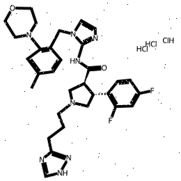 Cc1ccc(Cn2ccnc2NC(=O)[C@@H]2CN(CCCc3nc[nH]n3)C[C@H]2c2ccc(F)cc2F)c(N2CCOCC2)c1.Cl.Cl.Cl